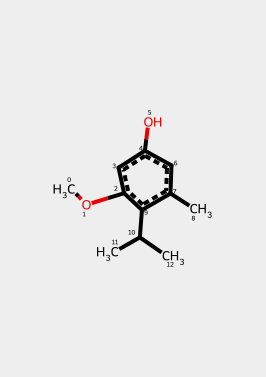 COc1cc(O)cc(C)c1C(C)C